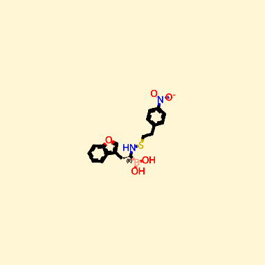 O=[N+]([O-])c1ccc(CCSN[C@@H](Cc2coc3ccccc23)B(O)O)cc1